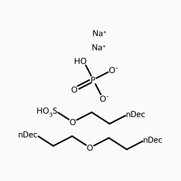 CCCCCCCCCCCCOCCCCCCCCCCCC.CCCCCCCCCCCCOS(=O)(=O)O.O=P([O-])([O-])O.[Na+].[Na+]